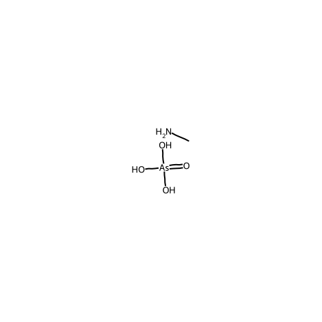 CN.O=[As](O)(O)O